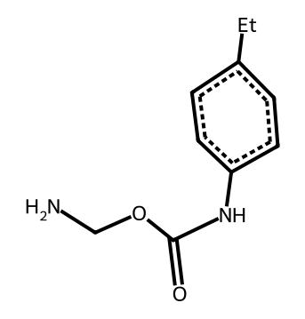 CCc1ccc(NC(=O)OCN)cc1